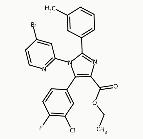 CCOC(=O)c1nc(-c2cccc(C)c2)n(-c2cc(Br)ccn2)c1-c1ccc(F)c(Cl)c1